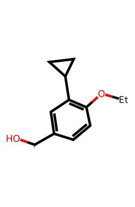 CCOc1ccc([CH]O)cc1C1CC1